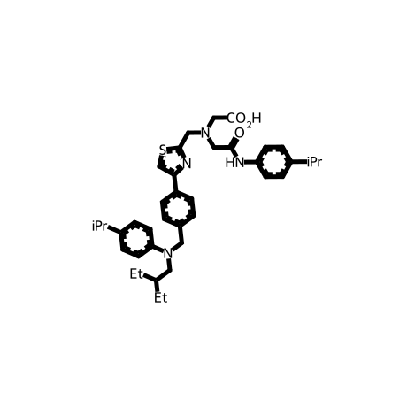 CCC(CC)CN(Cc1ccc(-c2csc(CN(CC(=O)O)CC(=O)Nc3ccc(C(C)C)cc3)n2)cc1)c1ccc(C(C)C)cc1